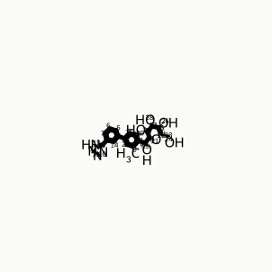 Cc1cc(-c2cccc(-c3nnn[nH]3)c2)ccc1[C@@H](O)[C@H]1O[C@H](CO)[C@@H](O)[C@H](O)[C@@H]1O